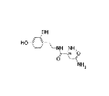 NC(=O)C[C@@H](N)C(=O)NCCc1ccc(O)cc1O